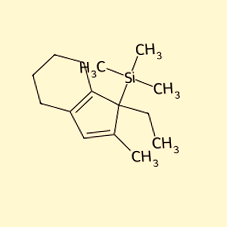 CCC1([Si](C)(C)C)C(C)=CC2=C1CCCC2